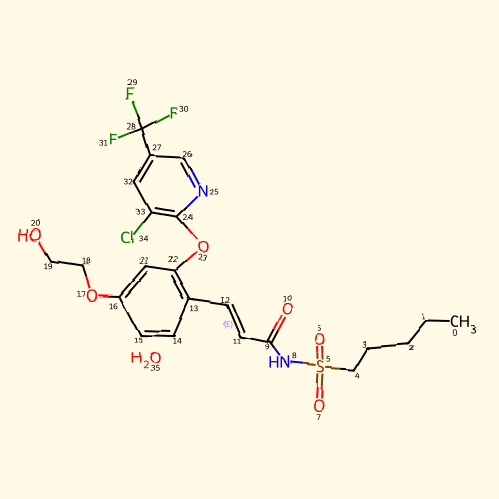 CCCCCS(=O)(=O)NC(=O)/C=C/c1ccc(OCCO)cc1Oc1ncc(C(F)(F)F)cc1Cl.O